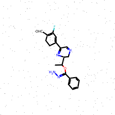 CC(O/C(=N\N)c1ccccc1)C1CN=CC(C2=CC(F)=C(C=O)CC2)=N1